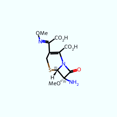 CON=C(C(=O)O)C1=C(C(=O)O)N2C(=O)[C@](N)(OC)[C@@H]2SC1